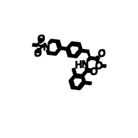 COC(=O)[C@H](Cc1ccc(C2=CCN(S(C)(=O)=O)CC2)cc1)NC(=O)c1c(C)cccc1C